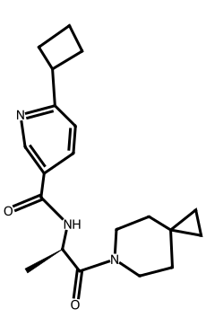 C[C@@H](NC(=O)c1ccc(C2CCC2)nc1)C(=O)N1CCC2(CC1)CC2